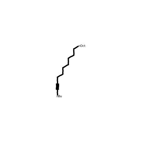 [CH2]CCCC#CCCCCCCCCCCCCCC[CH2]